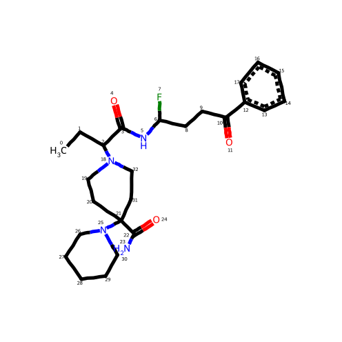 CCC(C(=O)NC(F)CCC(=O)c1ccccc1)N1CCC(C(N)=O)(N2CCCCC2)CC1